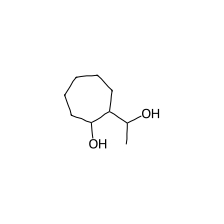 CC(O)C1CCCCCC1O